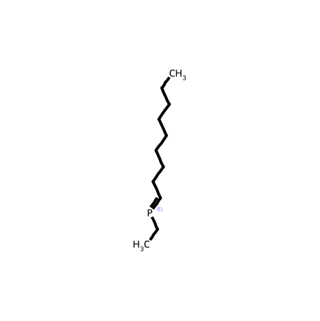 CCCCCCCC/C=P/CC